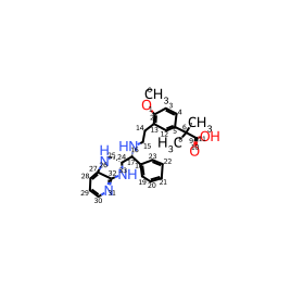 COc1ccc(C(C)(C)C(=O)O)cc1CCN[C@H](c1ccccc1)[C@H]1CNc2cccnc2N1